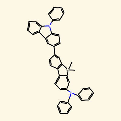 C[Si]1(C)c2cc(-c3ccc4c(c3)c3ccccc3n4-c3ccccc3)ccc2-c2ccc(N(c3ccccc3)c3ccccc3)cc21